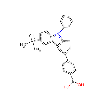 CC(C)(C)c1ccc2c(c1)c1cc(-c3ccc(B(O)O)cc3)ccc1n2-c1ccccc1